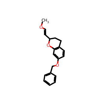 COC=CC1CCc2ccc(OCc3ccccc3)cc2O1